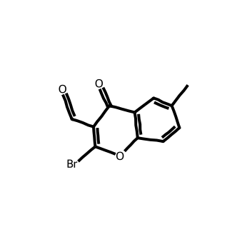 Cc1ccc2oc(Br)c(C=O)c(=O)c2c1